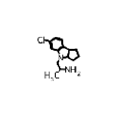 C[C@H](N)CN1c2cc(Cl)ccc2C2CCCC21